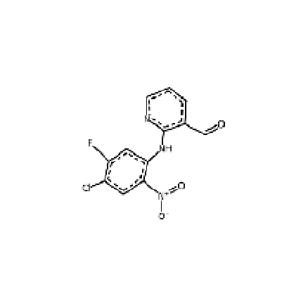 O=Cc1cccnc1Nc1cc(F)c(Cl)cc1[N+](=O)[O-]